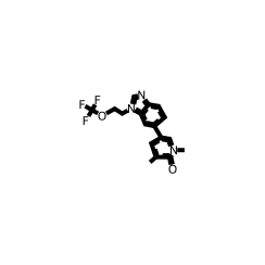 Cc1cc(-c2ccc3ncn(CCOC(F)(F)F)c3c2)cn(C)c1=O